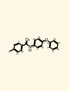 [CH2]c1ccc(C(=O)Nc2ccc(Oc3ccccc3)cc2)cc1